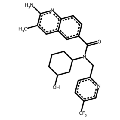 Cc1cc2cc(C(=O)N(Cc3ccc(C(F)(F)F)cn3)C3CCCC(O)C3)ccc2nc1N